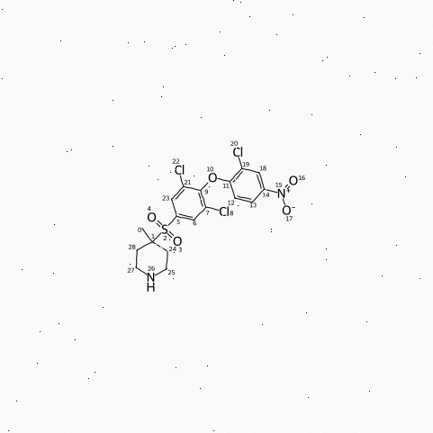 CC1(S(=O)(=O)c2cc(Cl)c(Oc3ccc([N+](=O)[O-])cc3Cl)c(Cl)c2)CCNCC1